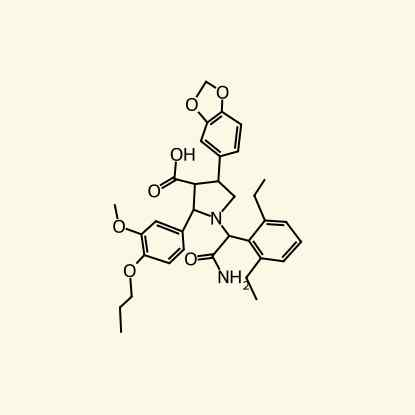 CCCOc1ccc(C2C(C(=O)O)C(c3ccc4c(c3)OCO4)CN2C(C(N)=O)c2c(CC)cccc2CC)cc1OC